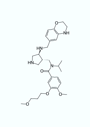 COCCCOc1cc(C(=O)N(C[C@@H]2CNC[C@H]2NCc2ccc3c(c2)NCCO3)C(C)C)ccc1OC